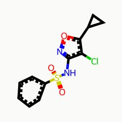 O=S(=O)(Nc1noc(C2CC2)c1Cl)c1ccccc1